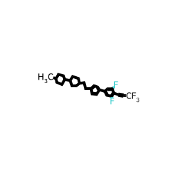 CC1CCC(C2CCC(CCc3ccc(-c4cc(F)c(C#CC(F)(F)F)c(F)c4)cc3)CC2)CC1